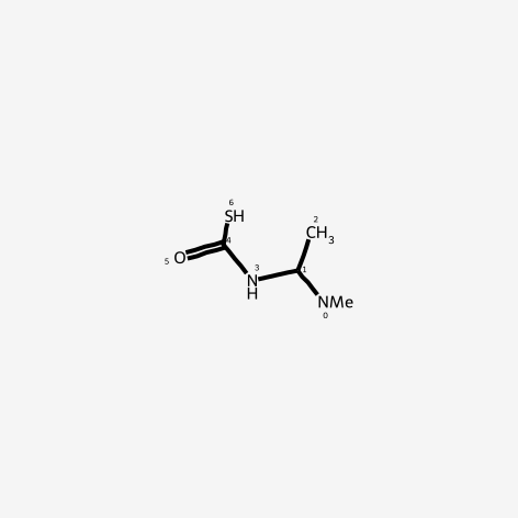 CNC(C)NC(=O)S